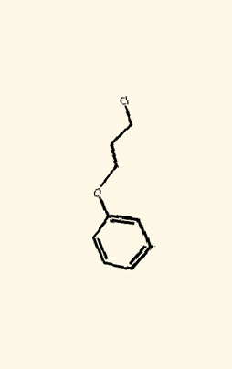 ClCCCOc1c[c]ccc1